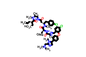 C=CC[C@H](CC(=O)O)C(=O)N(C)[C@@H](C)CNC(=O)C[C@H](Cc1ccc(Cl)cc1)N(C)C(=O)[C@H](COC)NC(=O)[C@H](C)NCc1ccc(Cl)cc1Oc1ccc(-c2cnc(CN(C)C)n2C)cc1